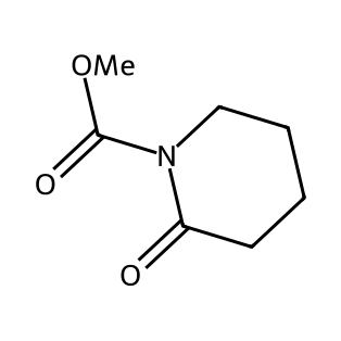 COC(=O)N1CCCCC1=O